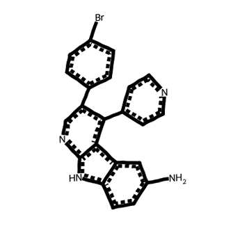 Nc1ccc2[nH]c3ncc(-c4ccc(Br)cc4)c(-c4ccncc4)c3c2c1